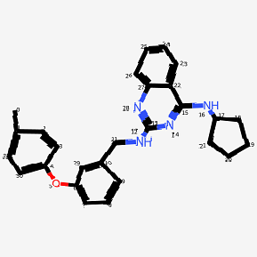 Cc1ccc(Oc2cccc(CNc3nc(NC4CCCC4)c4ccccc4n3)c2)cc1